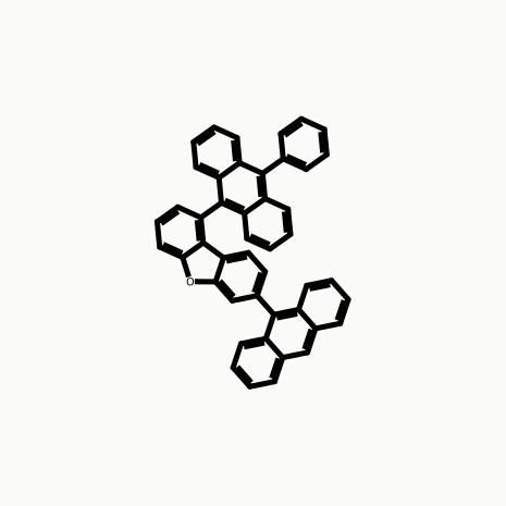 c1ccc(-c2c3ccccc3c(-c3cccc4oc5cc(-c6c7ccccc7cc7ccccc67)ccc5c34)c3ccccc23)cc1